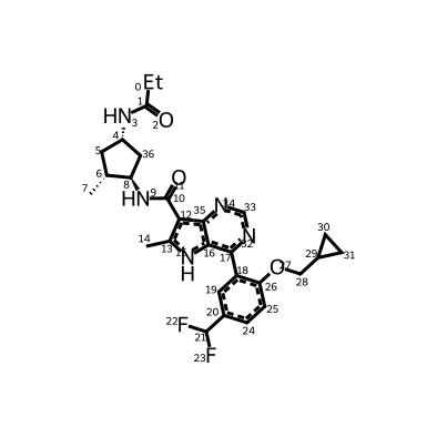 CCC(=O)N[C@H]1C[C@@H](C)[C@H](NC(=O)c2c(C)[nH]c3c(-c4cc(C(F)F)ccc4OCC4CC4)ncnc23)C1